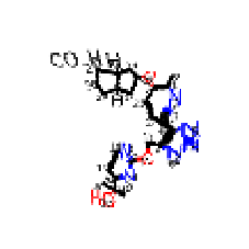 Cc1nc(-c2nnn(C)c2COc2nccc(C(C)(C)O)n2)ccc1O[C@@H]1C[C@@H]2CC[C@H](C(=O)O)[C@@H]2C1